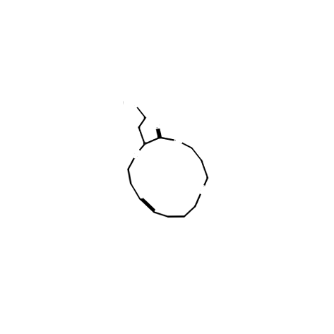 CCCC1CCCC=CCCCCCCCOC1=O